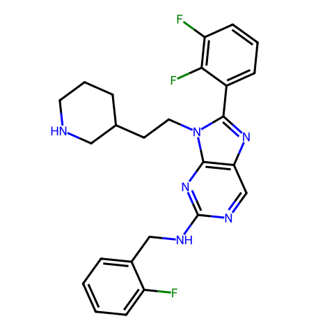 Fc1ccccc1CNc1ncc2nc(-c3cccc(F)c3F)n(CCC3CCCNC3)c2n1